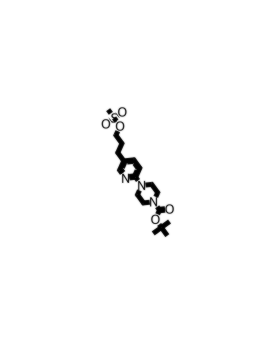 CC(C)(C)OC(=O)N1CCN(c2ccc(CCCOS(C)(=O)=O)cn2)CC1